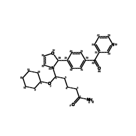 NC(=O)CCCC(OC1CCCCC1)N1C=COC1c1ccc(C(=O)c2cccnc2)cc1